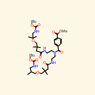 COC(=O)c1ccc(C(=O)N(CCNC(=O)CC(C)(C)COCC(C)CNC(=O)OC(C)(C)C)CCNC(=O)CC(C)(C)COC(C)(C)CNC(=O)OC(C)(C)C)cc1